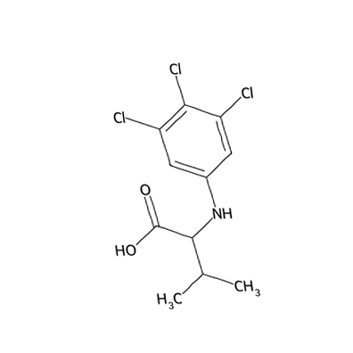 CC(C)C(Nc1cc(Cl)c(Cl)c(Cl)c1)C(=O)O